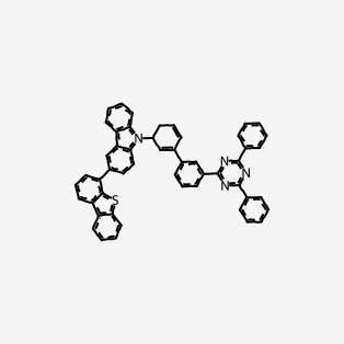 C1=CC(c2cccc(-c3nc(-c4ccccc4)nc(-c4ccccc4)n3)c2)=CC(n2c3ccccc3c3cc(-c4cccc5c4sc4ccccc45)ccc32)C1